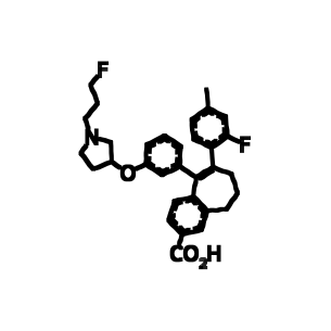 Cc1ccc(C2=C(c3cccc(OC4CCN(CCCF)C4)c3)c3ccc(C(=O)O)cc3CCC2)c(F)c1